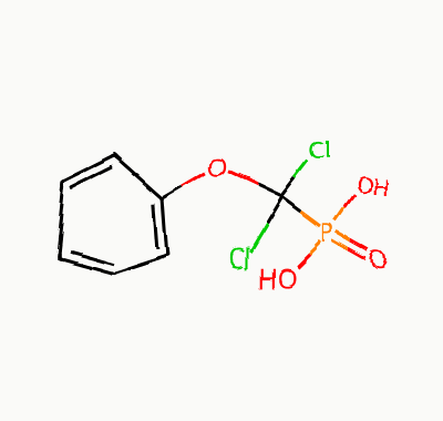 O=P(O)(O)C(Cl)(Cl)Oc1ccccc1